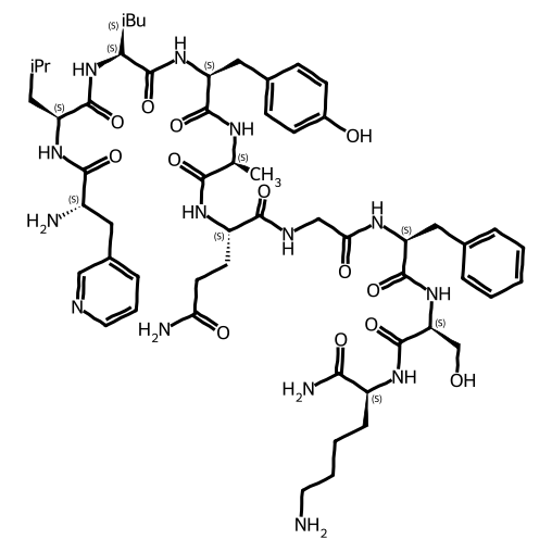 CC[C@H](C)[C@H](NC(=O)[C@H](CC(C)C)NC(=O)[C@@H](N)Cc1cccnc1)C(=O)N[C@@H](Cc1ccc(O)cc1)C(=O)N[C@@H](C)C(=O)N[C@@H](CCC(N)=O)C(=O)NCC(=O)N[C@@H](Cc1ccccc1)C(=O)N[C@@H](CO)C(=O)N[C@@H](CCCCN)C(N)=O